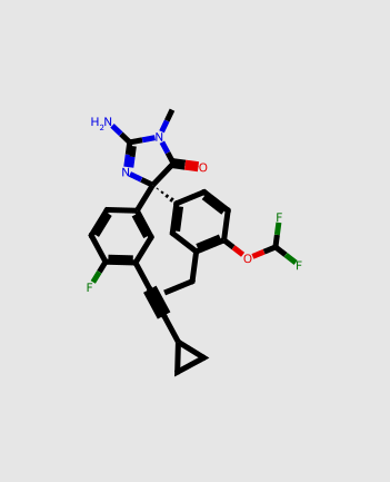 CCc1cc([C@]2(c3ccc(F)c(C#CC4CC4)c3)N=C(N)N(C)C2=O)ccc1OC(F)F